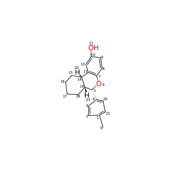 Cc1ccc([C@H]2Oc3ccc(O)cc3[C@H]3CCCC[C@H]32)cc1